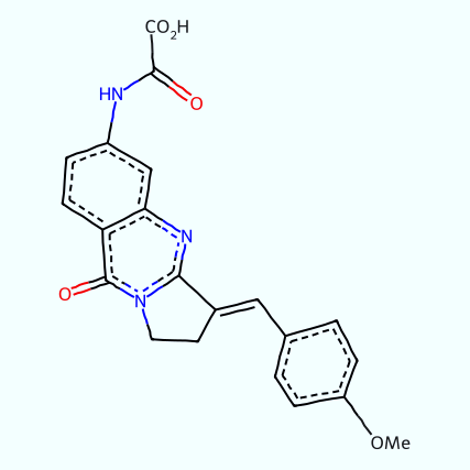 COc1ccc(C=C2CCn3c2nc2cc(NC(=O)C(=O)O)ccc2c3=O)cc1